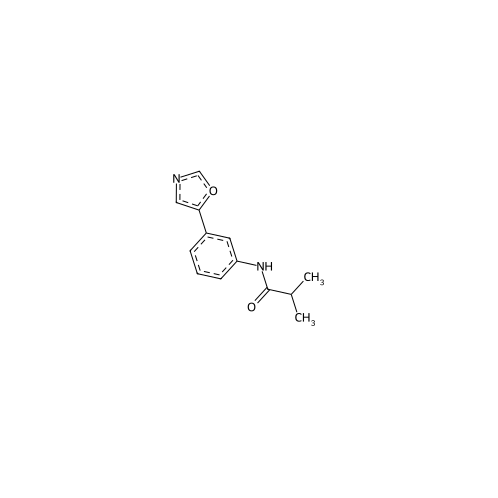 CC(C)C(=O)Nc1cccc(-c2cnco2)c1